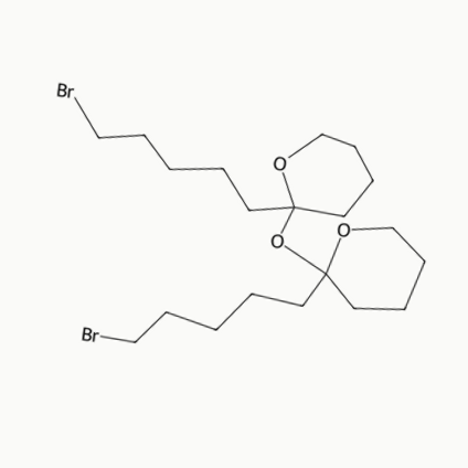 BrCCCCCC1(OC2(CCCCCBr)CCCCO2)CCCCO1